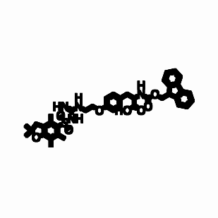 Cc1c(C)c(S(=O)(=O)NC(=N)NCCOc2ccc(CC(NC(=O)OCC3c4ccccc4-c4ccccc43)C(=O)O)cc2)c(C)c2c1OC(C)(C)C2